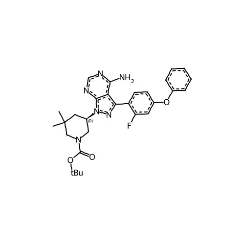 CC1(C)C[C@@H](n2nc(-c3ccc(Oc4ccccc4)cc3F)c3c(N)ncnc32)CN(C(=O)OC(C)(C)C)C1